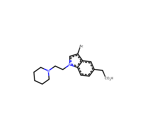 CC(=O)c1cn(CCN2CCCCC2)c2ccc(CC(=O)O)cc12